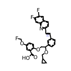 O=C(O)c1cc(OCF)ccc1OCC(OCC1CC1)c1cccc(/C=C/c2ccc3cc(F)c(F)cc3n2)c1